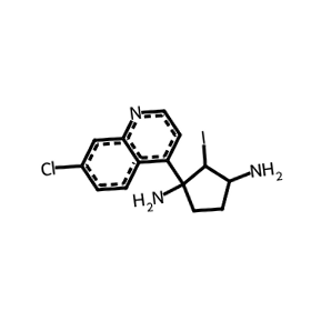 NC1CCC(N)(c2ccnc3cc(Cl)ccc23)C1I